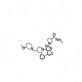 CN(C)C1CCCN(CC2CCN(c3nc(N4CCC(C(N)=O)C4)nc4scc(-c5ccccc5)c34)CC2)C1